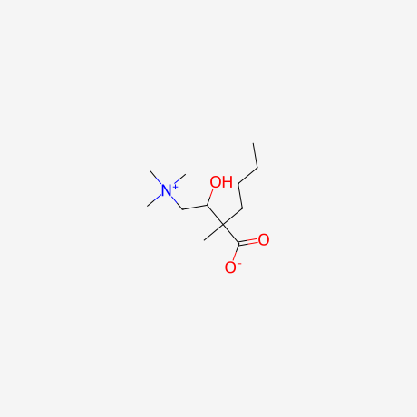 CCCCC(C)(C(=O)[O-])C(O)C[N+](C)(C)C